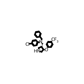 FC(F)(F)c1ccc(O[C@H]2CNC[C@@H]2CN(Cc2ccccc2)c2ccc(Cl)cc2)cc1